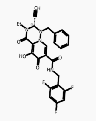 C#C[C@H]1N(CC)C(=O)c2c(O)c(=O)c(C(=O)NCc3c(F)cc(F)cc3F)cn2N1Cc1ccccc1